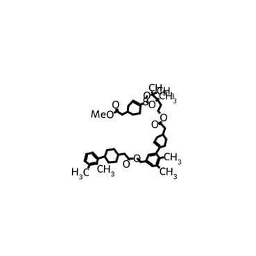 COC(=O)CC1CC=C(B2OC(C)(C)C(C)(CCOC(=O)CC3CC=C(c4cc(COC(=O)CC5CCC(c6cccc(C)c6C)CC5)cc(C)c4C)CC3)O2)CC1